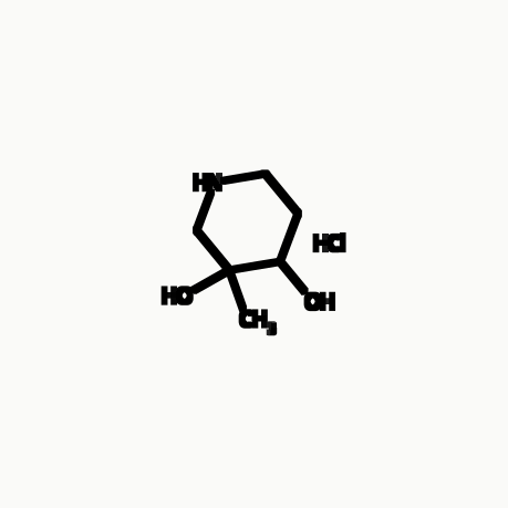 CC1(O)CNCCC1O.Cl